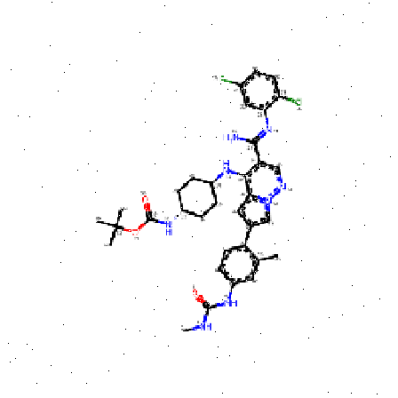 CNC(=O)Nc1ccc(-c2cc3c(N[C@H]4CC[C@H](NC(=O)OC(C)(C)C)CC4)c(C(N)=Nc4cc(F)ccc4Cl)cnn3c2)c(C)c1